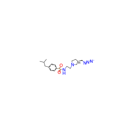 CC(C)Cc1ccc(S(=O)(=O)NCCN2CC[C@@H](CN=[N+]=[N-])C2)cc1